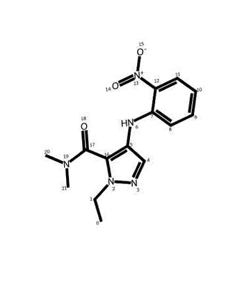 CCn1ncc(Nc2ccccc2[N+](=O)[O-])c1C(=O)N(C)C